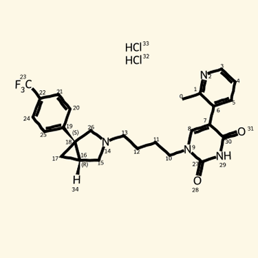 Cc1ncccc1-c1cn(CCCCN2C[C@@H]3C[C@]3(c3ccc(C(F)(F)F)cc3)C2)c(=O)[nH]c1=O.Cl.Cl